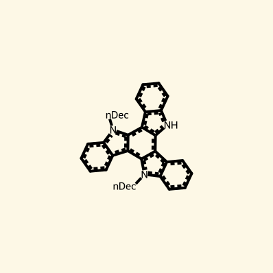 CCCCCCCCCCn1c2ccccc2c2c3[nH]c4ccccc4c3c3c(c4ccccc4n3CCCCCCCCCC)c21